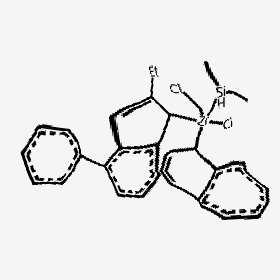 CCC1=Cc2c(-c3ccccc3)cccc2[CH]1[Zr]([Cl])([Cl])([CH]1C=Cc2ccccc21)[SiH](C)C